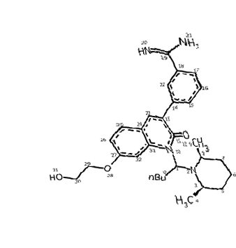 CCCCC(N1[C@H](C)CCC[C@@H]1C)n1c(=O)c(-c2cccc(C(=N)N)c2)cc2ccc(OCCO)cc21